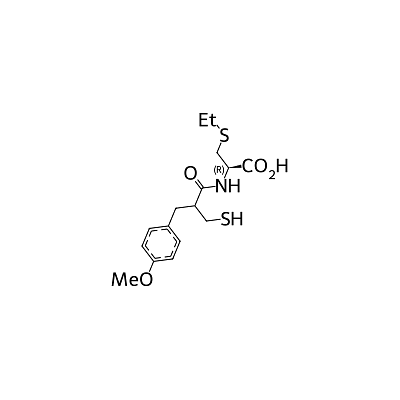 CCSC[C@H](NC(=O)C(CS)Cc1ccc(OC)cc1)C(=O)O